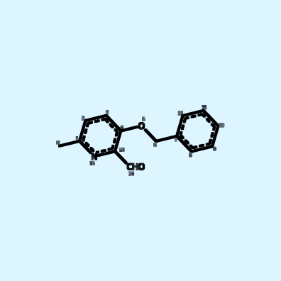 Cc1ccc(OCc2ccccc2)c(C=O)n1